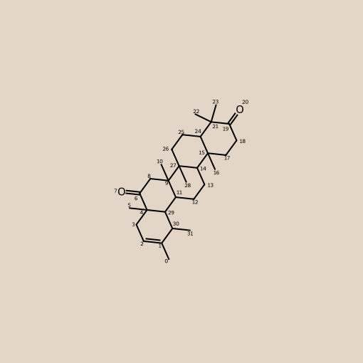 CC1=CCC2(C)C(=O)CC3(C)C(CCC4C5(C)CCC(=O)C(C)(C)C5CCC43C)C2C1C